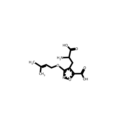 CC(C)=CCOc1noc(C(=O)O)c1CC(N)C(=O)O